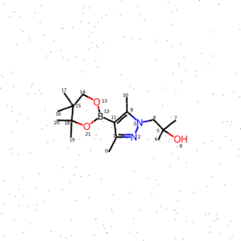 Cc1nn(CC(C)(C)O)c(C)c1B1OCC(C)(C)C(C)(C)O1